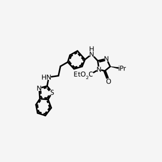 CCOC(=O)N1C(=O)[C@H](C(C)C)N=C1Nc1ccc(CCNc2nc3ccccc3s2)cc1